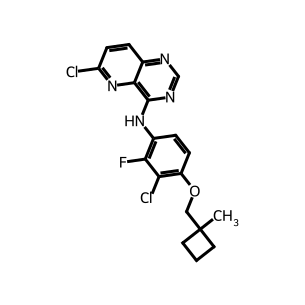 CC1(COc2ccc(Nc3ncnc4ccc(Cl)nc34)c(F)c2Cl)CCC1